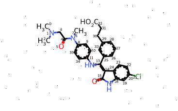 CN(C)CC(=O)N(C)c1ccc(N/C(=C2\C(=O)Nc3cc(Cl)ccc32)c2cccc(CCC(=O)O)c2)cc1